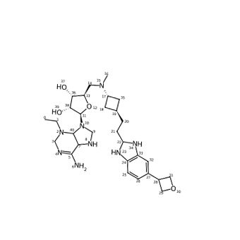 CCN1CN=C(N)C2NCN([C@@H]3O[C@H](CN(C)[C@H]4C[C@H](CCC5Nc6ccc(C7COC7)cc6N5)C4)[C@@H](O)[C@H]3O)C21